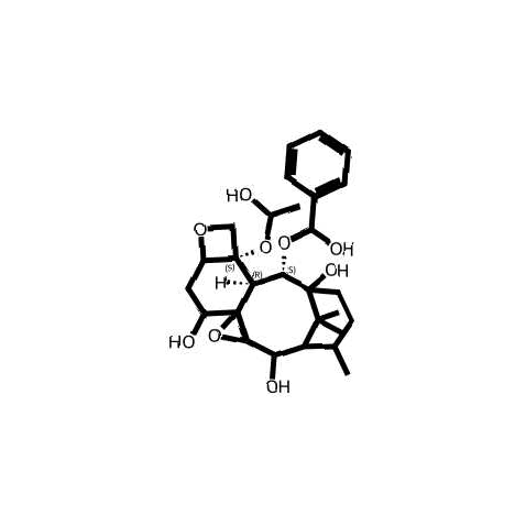 CC(O)O[C@@]12COC1CC(O)C13OC1C(O)C1C(C)CCC(O)([C@@H](OC(O)c4ccccc4)[C@@H]32)C1(C)C